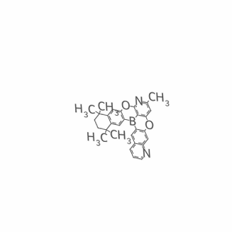 Cc1cc2c3c(n1)Oc1cc4c(cc1B3c1cc3cccnc3cc1O2)C(C)(C)CCC4(C)C